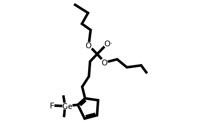 CCCCOC([O])(CCCC1=[C]([Ge]([CH3])([CH3])[F])C=CC1)OCCCC